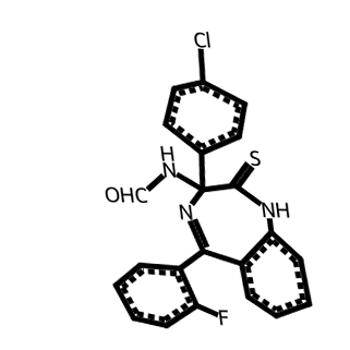 O=CNC1(c2ccc(Cl)cc2)N=C(c2ccccc2F)c2ccccc2NC1=S